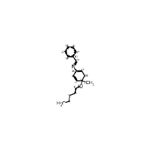 CCCCCOC1(C)C=CC(N=Cc2ccccc2)=CC1